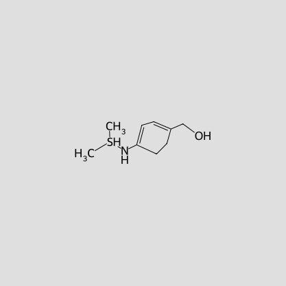 C[SH](C)NC1=CC=C(CO)CC1